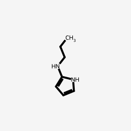 CCCNc1ccc[nH]1